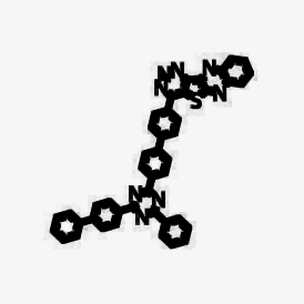 c1ccc(-c2ccc(-c3nc(-c4ccccc4)nc(-c4ccc(-c5ccc(-c6nnnc7c6sc6nc8ccccc8nc67)cc5)cc4)n3)cc2)cc1